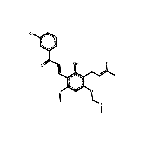 COCOc1cc(OC)c(C=CC(=O)c2cncc(Cl)c2)c(O)c1CC=C(C)C